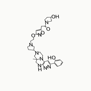 CC12CNc3nnc(-c4ccccc4O)cc3N1CCN(C1CCN(CCOc3cc(CC(=O)N4CC[C@@H](O)C4)on3)C1)C2